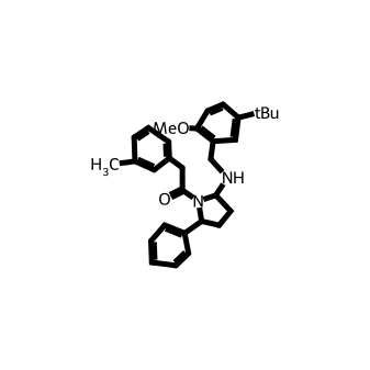 COc1ccc(C(C)(C)C)cc1CNC1CCC(c2ccccc2)N1C(=O)Cc1cccc(C)c1